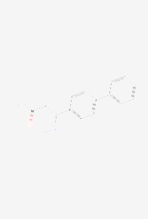 CC(=O)CC(c1ccc(-c2ccccc2)cc1)N(C)C